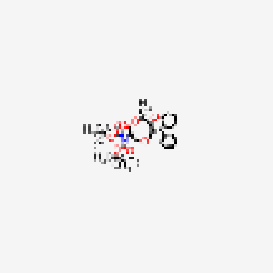 C[C@@H]1OC(=O)[C@@H](N(C(=O)OC(C)(C)C)C(=O)OC(C)(C)C)COC[C@H](Cc2ccccc2)[C@H]1OC1CCCCC1